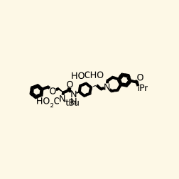 CC(C)C(=O)c1ccc2c(c1)CCN(CC[C@H]1CC[C@H](NC(=O)[C@H](COCc3ccccc3)N(C(=O)O)C(C)(C)C)CC1)CC2.O=CO